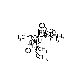 COCCN(CC(=O)N(CC(=O)N(CCOC)CC(=O)NC(CO)C(=O)N[C@@H](Cc1ccccc1)C(=O)N[C@@H](C)C(N)=O)Cc1ccccc1)C(C)=O